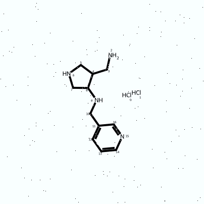 Cl.Cl.NCC1CNCC1NCc1cccnc1